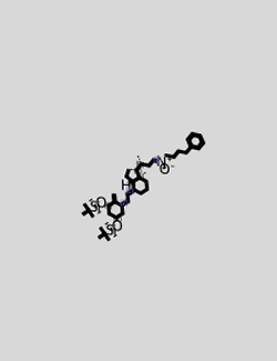 C=C1/C(=C\C=C2/CCC[C@]3(C)[C@@H]([C@H](C)C/C=[N+](\[O-])CCCCc4ccccc4)CC[C@@H]23)C[C@@H](O[Si](C)(C)C(C)(C)C)C[C@@H]1O[Si](C)(C)C(C)(C)C